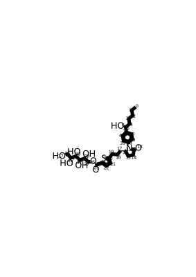 CCCCC[C@H](O)c1ccc(N2C(=O)CC[C@@H]2CCCc2ccc(C(=O)OC[C@H](O)[C@@H](O)[C@H](O)[C@H](O)CO)s2)cc1